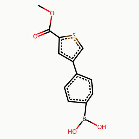 COC(=O)c1cc(-c2ccc(B(O)O)cc2)cs1